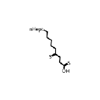 CCCCCCCCCCCCC(=S)CCC(O)=S